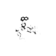 C=CC(=O)N1CCN(c2nc(OCC3(N4CCN(C)CC4)CC3)nc3c2CCN(c2c[c]cc4ccccc24)C3)C[C@@H]1CC#N